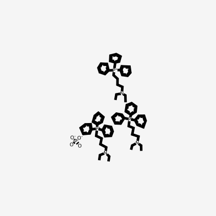 CCN(CC)CCCC[P+](c1ccccc1)(c1ccccc1)c1ccccc1.CCN(CC)CCCC[P+](c1ccccc1)(c1ccccc1)c1ccccc1.CCN(CC)CCCC[P+](c1ccccc1)(c1ccccc1)c1ccccc1.O=P([O-])([O-])[O-]